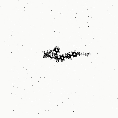 CCCCCCCOc1ccc(-c2cnc(-c3ccc(C(=O)C(CNCC(=O)NS(C)(=O)=O)NC(=O)c4ccccc4C(C)(C)C)cc3)nc2)cc1